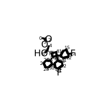 CC(=O)OCC(O)[C@@H]1CC(c2ccc(F)cc2)(c2ccc(F)cc2)[C@H]1c1ccccc1